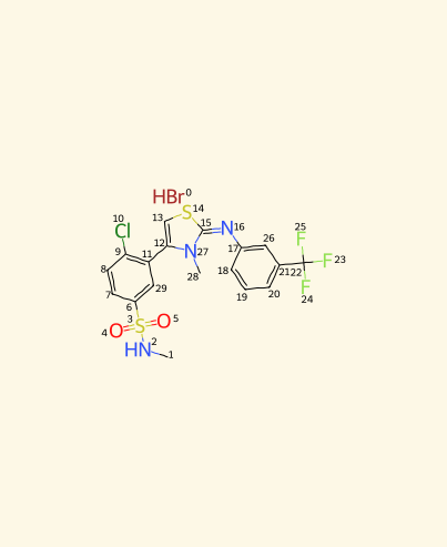 Br.CNS(=O)(=O)c1ccc(Cl)c(-c2csc(=Nc3cccc(C(F)(F)F)c3)n2C)c1